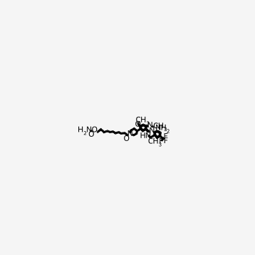 COc1cc2nc(C)nc(NC(C)c3cc(N)cc(C(F)(F)F)c3)c2cc1C1CCN(C(=O)CCCCCCCCCCOC(N)=O)CC1